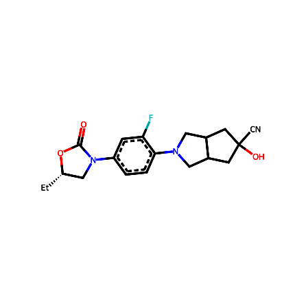 CC[C@H]1CN(c2ccc(N3CC4CC(O)(C#N)CC4C3)c(F)c2)C(=O)O1